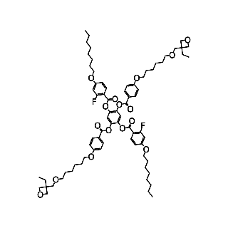 CCCCCCCCOc1ccc(C(=O)Oc2cc(OC(=O)c3ccc(OCCCCCCOCC4(CC)COC4)cc3)c(OC(=O)c3ccc(OCCCCCCCC)cc3F)cc2OC(=O)c2ccc(OCCCCCCOCC3(CC)COC3)cc2)c(F)c1